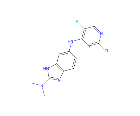 CN(C)c1nc2ccc(Nc3nc(Cl)ncc3F)cc2[nH]1